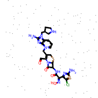 Nc1nc(/C(=N/O)C(=O)NC2C(=O)N3C(C=O)=C(C[n+]4cccc5c4nc(N)n5CC4CCNC4)CSC23)c(Cl)s1